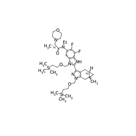 CCN(C(=O)[C@H](C)N1CCOCC1)c1cc2c([nH]c(-c3nn(COCC[Si](C)(C)C)c4c3C[C@@H]3C[C@]3(C)C4)[n+]2COCC[Si](C)(C)C)c(F)c1F